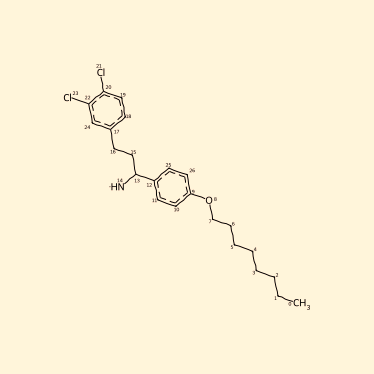 CCCCCCCCOc1ccc(C([NH])CCc2ccc(Cl)c(Cl)c2)cc1